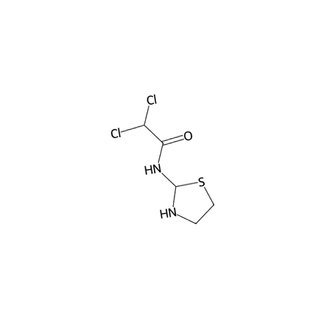 O=C(NC1NCCS1)C(Cl)Cl